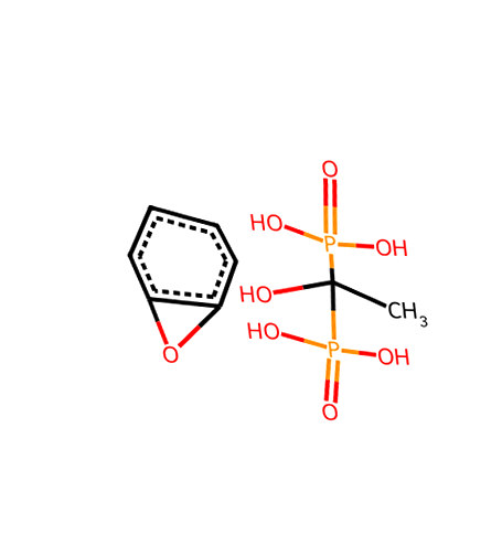 CC(O)(P(=O)(O)O)P(=O)(O)O.c1ccc2c(c1)O2